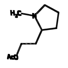 CC(=O)OCCC1CCCN1C